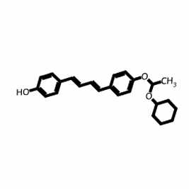 CC(Oc1ccc(C=CC=Cc2ccc(O)cc2)cc1)OC1CCCCC1